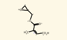 C/C(=C/C(=O)O)C(=O)OCC1CO1